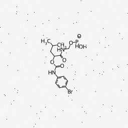 CC(C)CC(OC(=O)Nc1ccc(Br)cc1)C(=O)NCO[PH](=O)O